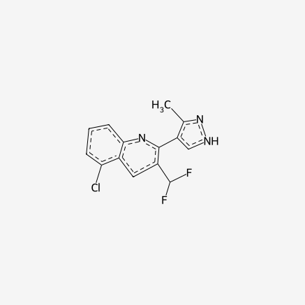 Cc1n[nH]cc1-c1nc2cccc(Cl)c2cc1C(F)F